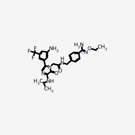 CCO/N=C(\N)c1ccc(CNC(=O)Cn2c(-c3cc(N)cc(C(F)(F)F)c3)cnc(NC(C)C)c2=O)cc1